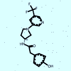 O=C(Cc1ccc(O)cc1)N[C@@H]1CCN(c2cncc(C(F)(F)F)c2)C1